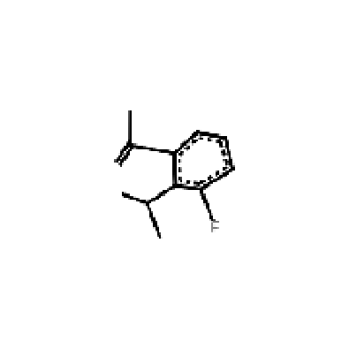 C=C(C)c1cccc(F)c1C(C)C